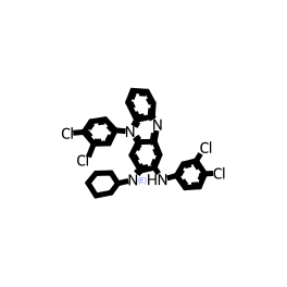 Clc1ccc(Nc2cc3nc4ccccc4n(-c4ccc(Cl)c(Cl)c4)c-3c/c2=N\C2CCCCC2)cc1Cl